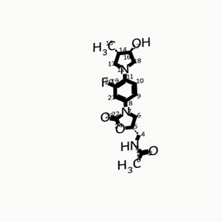 CC(=O)NC[C@H]1CN(c2ccc(N3C[C@H](C)[C@@H](O)C3)c(F)c2)C(=O)O1